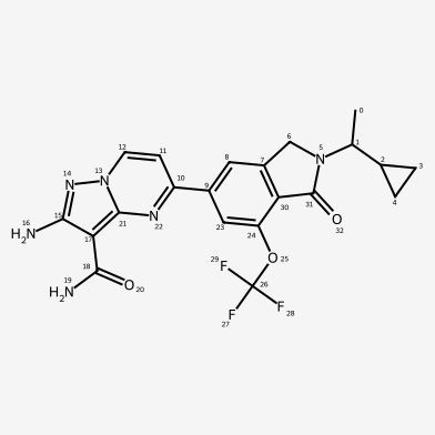 CC(C1CC1)N1Cc2cc(-c3ccn4nc(N)c(C(N)=O)c4n3)cc(OC(F)(F)F)c2C1=O